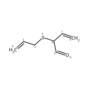 C=CCSC([C]=O)C=C